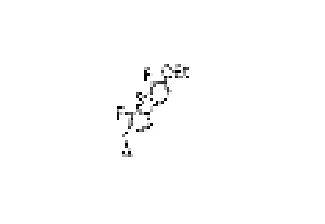 CCOc1ccc2c(sc3c(F)c(CC4CC4)ccc32)c1F